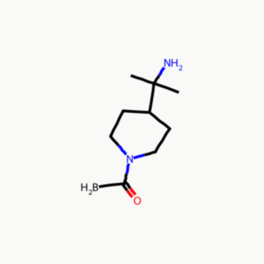 BC(=O)N1CCC(C(C)(C)N)CC1